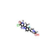 Cc1c(-c2[nH]c3ccc(C4CCN(CC(C)(C)O)CC4)c(F)c3c2C(C)C)cn(C)c(=O)c1Cl